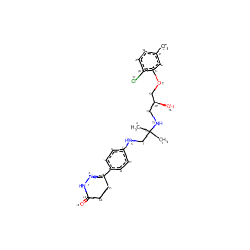 CC(C)(CNc1ccc(C2=NNC(=O)CC2)cc1)NC[C@H](O)COc1cc(C(F)(F)F)ccc1Cl